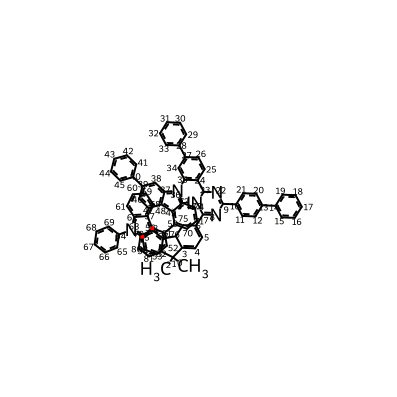 CC1(C)C2=CC=C(C3=NC(c4ccc(-c5ccccc5)cc4)=NC(c4ccc(-c5ccccc5)cc4-n4c5cc(-c6ccccc6)ccc5c5c(-c6cccc7c6c6ccccc6n7-c6ccccc6)cccc54)N3)CC2c2ccccc21